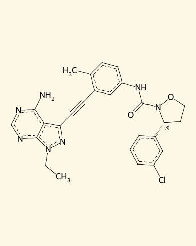 CCn1nc(C#Cc2cc(NC(=O)N3OCC[C@@H]3c3cccc(Cl)c3)ccc2C)c2c(N)ncnc21